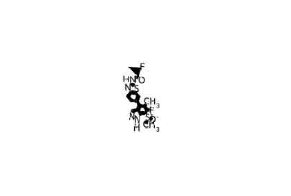 Cc1c(F)c([S+](C)[O-])c2[nH]ncc2c1-c1ccc2nc(NC(=O)[C@@H]3C[C@@H]3F)sc2c1